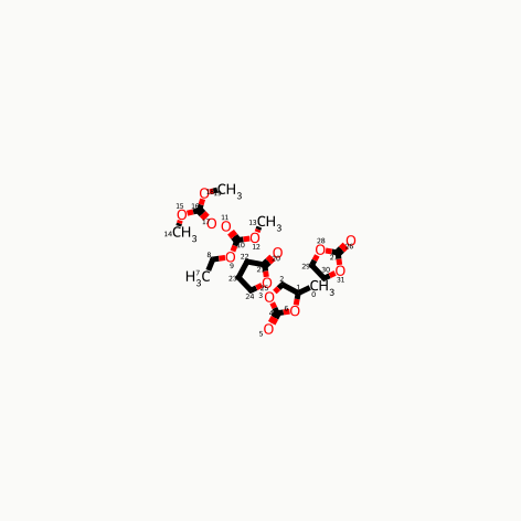 CC1COC(=O)O1.CCOC(=O)OC.COC(=O)OC.O=C1CCCO1.O=C1OCCO1